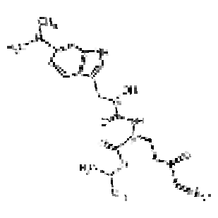 CC(C)OC(=O)[C@H](CCC(=O)C=[N+]=[N-])NC(=O)[C@@H](O)Cc1c[nH]c2cc(N(C)C)ccc12